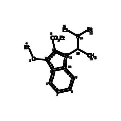 CCOC(=O)c1c(OCC)c2ccccc2n1C(C)N(CC)CC